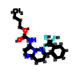 CCCCOC(=O)Nc1cnc2ccc(-c3ccccc3C(F)(F)F)nn12